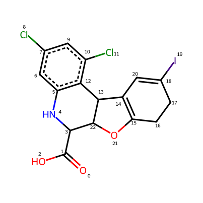 O=C(O)C1Nc2cc(Cl)cc(Cl)c2C2C3=C(CCC(I)=C3)OC12